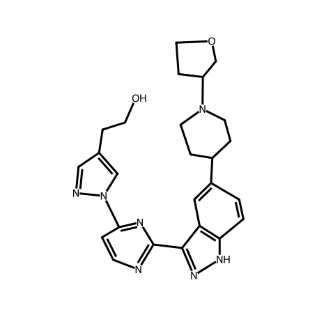 OCCc1cnn(-c2ccnc(-c3n[nH]c4ccc(C5CCN(C6CCOC6)CC5)cc34)n2)c1